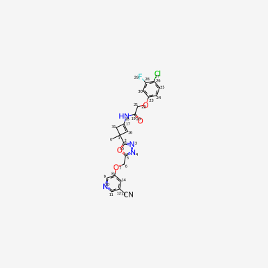 CC1(c2nnc(COc3cncc(C#N)c3)o2)C=C(NC(=O)COc2ccc(Cl)c(F)c2)C1